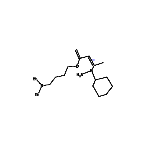 C=C(/C=C(/C)N(N)C1CCCCC1)OCCCCN(CC)CC